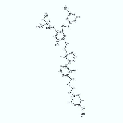 Cc1c(COc2cc(OCc3cncc(C#N)c3)c(CNC(C)(CO)C(=O)O)cc2Cl)cccc1-c1cccc(OCCCN2CCC(CO)CC2)c1C